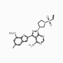 C=CS(=O)(=O)N1CC[C@H](n2nc(-c3cc4cc(C)cc(OC)c4s3)c3c(N)ncnc32)C1